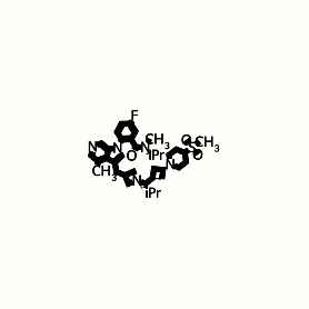 Cc1cncc2c1c(CC1CN([C@@H](C(C)C)[C@H]3C[C@@H](N4CCC(S(C)(=O)=O)CC4)C3)C1)cn2-c1ccc(F)cc1C(=O)N(C)C(C)C